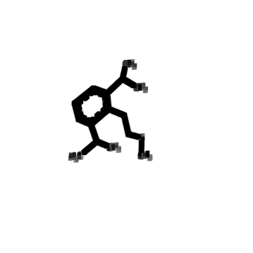 CSCCc1c(C(C)C)cccc1C(C)C